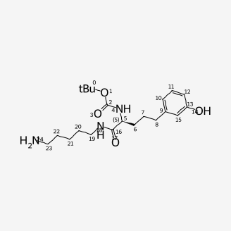 CC(C)(C)OC(=O)N[C@@H](CCCc1cccc(O)c1)C(=O)NCCCCCN